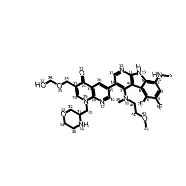 CNc1cc(F)c(F)c2c1[nH]c1ncc(-c3cnc4c(c3)c(=O)c(COCO)cn4CC3COCCN3)c(N(C)CCOC)c12